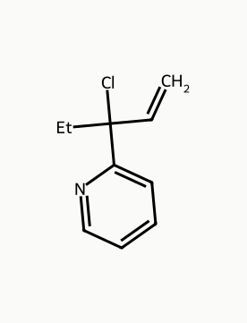 C=CC(Cl)(CC)c1ccccn1